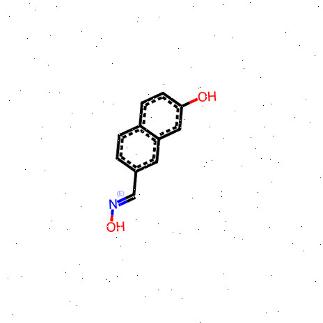 O/N=C/c1ccc2ccc(O)cc2c1